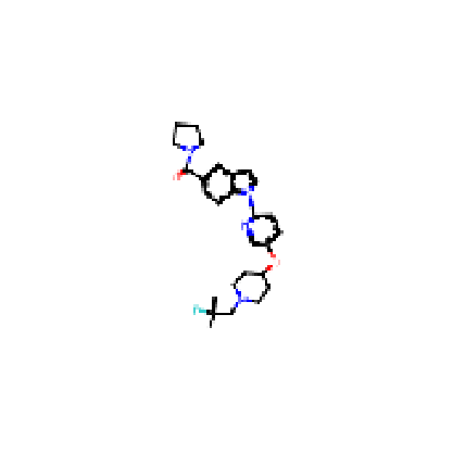 CC(C)(F)CN1CCC(Oc2ccc(-n3ccc4cc(C(=O)N5CCCC5)ccc43)nc2)CC1